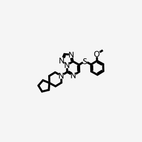 COc1ccccc1Sc1cnc(N2CCC3(CCCC3)CC2)n2ncnc12